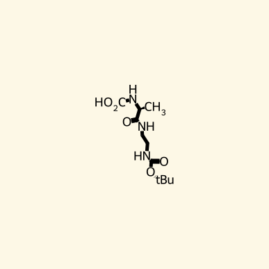 C[C@H](NC(=O)O)C(=O)NCCNC(=O)OC(C)(C)C